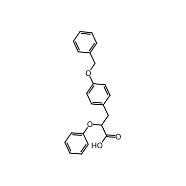 O=C(O)C(Cc1ccc(OCc2ccccc2)cc1)Oc1ccccc1